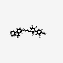 Cc1c(N2C(=O)N(CCCOc3ccc(-c4ccncc4)c(C(F)(F)F)c3)C(C)(C)C2=O)ccc(C#N)c1Cl